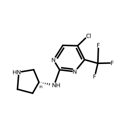 FC(F)(F)c1nc(N[C@@H]2CCNC2)ncc1Cl